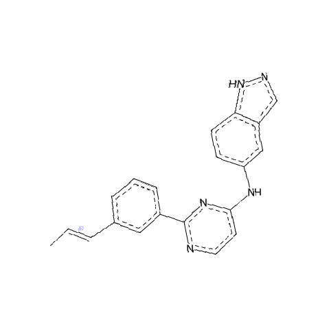 C/C=C/c1cccc(-c2nccc(Nc3ccc4[nH]ncc4c3)n2)c1